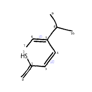 C=C(S)/C=C\C(=C/C)C(C)C